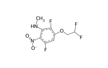 CNc1c(F)c(OCC(F)F)cc(F)c1[N+](=O)[O-]